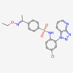 CCON=C(C)c1ccc(S(=O)(=O)Nc2ccc(Cl)cc2-n2nnc3ncccc32)cc1